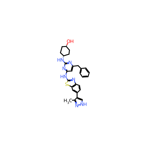 Cc1n[nH]cc1-c1ccc2nc(Nc3cc(Cc4ccccc4)nc(N[C@H]4CC[C@H](O)CC4)n3)sc2c1